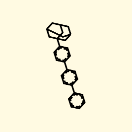 c1ccc(-c2ccc(-c3ccc(C45CC6CC(CC(C6)C4)C5)cc3)cc2)cc1